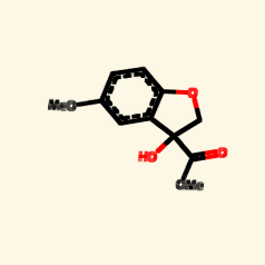 COC(=O)C1(O)COc2ccc(OC)cc21